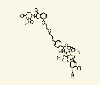 CC1(C)[C@H](NC(=O)c2ccc(CCCOCCOc3cccc4c3CN(C3CCC(=O)NC3=O)C4=O)cc2)C(C)(C)[C@H]1Oc1ccc(C#N)c(Cl)c1